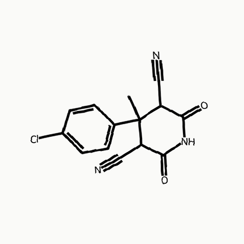 CC1(c2ccc(Cl)cc2)C(C#N)C(=O)NC(=O)C1C#N